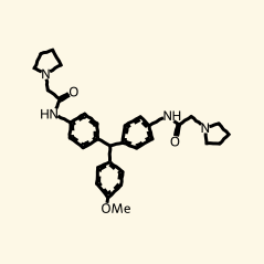 COc1ccc(C(c2ccc(NC(=O)CN3CCCC3)cc2)c2ccc(NC(=O)CN3CCCC3)cc2)cc1